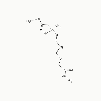 CC(C)(CC(=O)NN)OCPCOCC(=O)NN